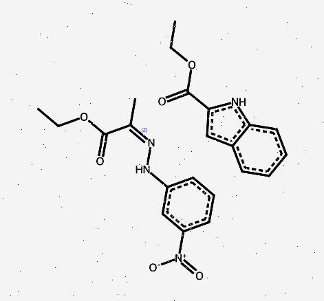 CCOC(=O)/C(C)=N\Nc1cccc([N+](=O)[O-])c1.CCOC(=O)c1cc2ccccc2[nH]1